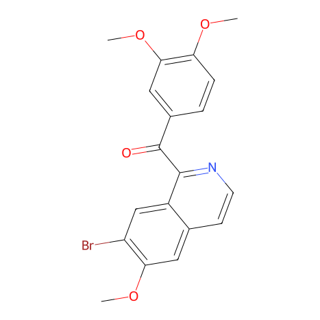 COc1cc2ccnc(C(=O)c3ccc(OC)c(OC)c3)c2cc1Br